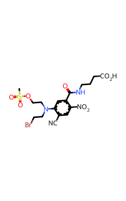 CS(=O)(=O)OCCN(CCBr)c1cc(C(=O)NCCCC(=O)O)c([N+](=O)[O-])cc1C#N